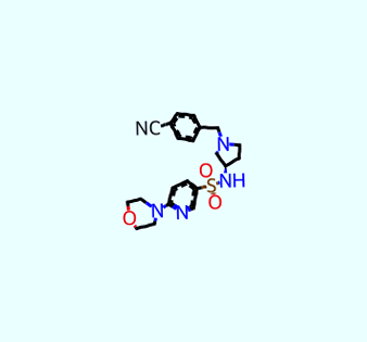 N#Cc1ccc(CN2CC[C@@H](NS(=O)(=O)c3ccc(N4CCOCC4)nc3)C2)cc1